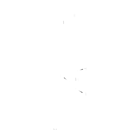 C/C=C/CC[C@@H]1CC[C@H]2[C@H](CC[C@H]3CC(c4ccc(C(F)(F)F)cc4)CC[C@@H]32)C1